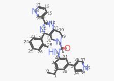 CCc1cc(NC(=O)N2CCc3nc(-c4cccnc4)nc(-c4ccccc4C)c3C2)cc(-c2ccncc2)c1